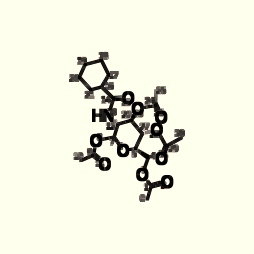 CC(=O)OC[C@H]1OC(OC(C)=O)[C@H](NC(=O)C2CCCCC2)[C@@H](OC(C)=O)[C@@H]1OC(C)=O